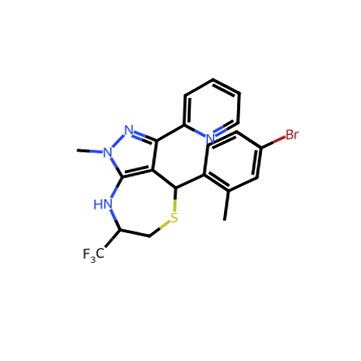 Cc1cc(Br)ccc1C1SCC(C(F)(F)F)Nc2c1c(-c1ccccn1)nn2C